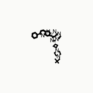 CC(C)(C)CN1CCN([C@H]2C[C@@H](c3nc(-c4ccc5ccc(-c6ccccc6)nc5c4)c4c(N)nccn43)C2)CC1